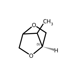 CC1C2CO[C@@H]1CO2